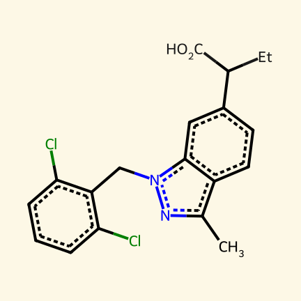 CCC(C(=O)O)c1ccc2c(C)nn(Cc3c(Cl)cccc3Cl)c2c1